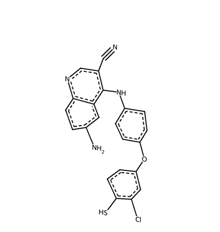 N#Cc1cnc2ccc(N)cc2c1Nc1ccc(Oc2ccc(S)c(Cl)c2)cc1